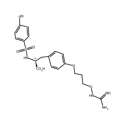 CCCc1ccc(S(=O)(=O)N[C@@H](Cc2ccc(OCCCONC(=N)N)cc2)C(=O)O)cc1